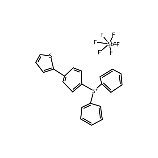 [F][Sb-]([F])([F])([F])([F])[F].c1ccc([S+](c2ccccc2)c2ccc(-c3cccs3)cc2)cc1